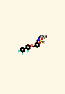 CCS(=O)(=O)N(CC(=O)O)Cc1cccc(COc2ccc(-c3ccc(F)c(F)c3)c(F)c2)c1